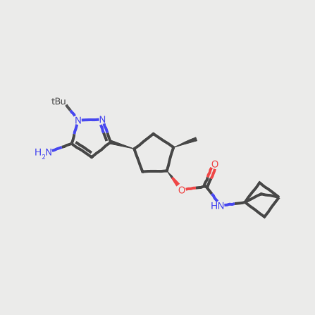 C[C@@H]1C[C@H](c2cc(N)n(C(C)(C)C)n2)C[C@@H]1OC(=O)NC12CC(C1)C2